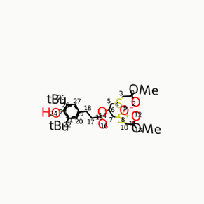 COC(=O)CSCC(C[S+]([O-])CC(=O)OC)OC(=O)CCc1cc(C(C)(C)C)c(O)c(C(C)(C)C)c1